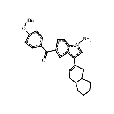 CCCCOc1ccc(C(=O)c2ccc3c(c2)c(C2=CCN4CCCCC4C2)cn3N)cc1